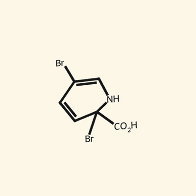 O=C(O)C1(Br)C=CC(Br)=CN1